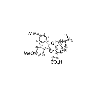 COc1ccc(CO[C@@H]2[C@H]3N=C(N(C)C)S[C@H]3O[C@H](CCC(=O)O)[C@H]2OCc2ccc(OC)cc2)cc1